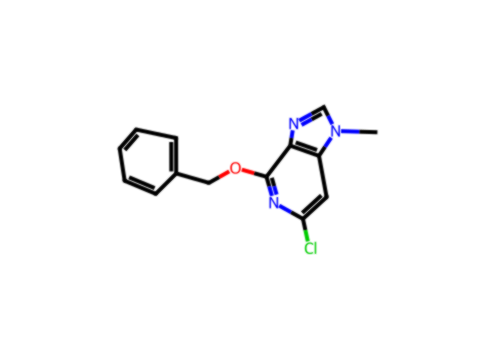 Cn1cnc2c(OCc3ccccc3)nc(Cl)cc21